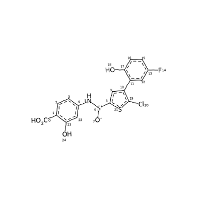 O=C(O)c1ccc(N[S+]([O-])c2cc(-c3cc(F)ccc3O)c(Cl)s2)cc1O